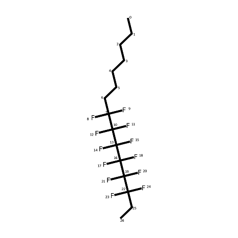 CCCCCCCC(F)(F)C(F)(F)C(F)(F)C(F)(F)C(F)(F)C(F)(F)CC